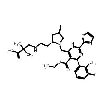 CCOC(=O)C1=C(CN2CC(F)C[C@@H]2CCNCC(C)(C)C(=O)O)NC(c2nccs2)=N[C@H]1c1cccc(F)c1C